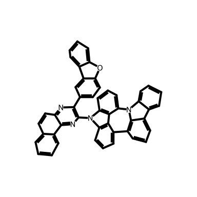 c1ccc2c(c1)ccc1nc(-c3ccc4oc5ccccc5c4c3)c(-n3c4cccc5c6cccc7c8ccccc8n(c8cccc3c8c54)c67)nc12